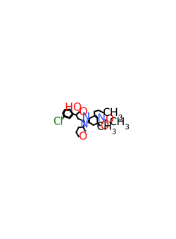 COC(=O)N1C2=C(CC[C@@H]1C)c1nc(CC(C(=O)O)c3cccc(Cl)c3)n(C3CCCOC3)c1CC2C